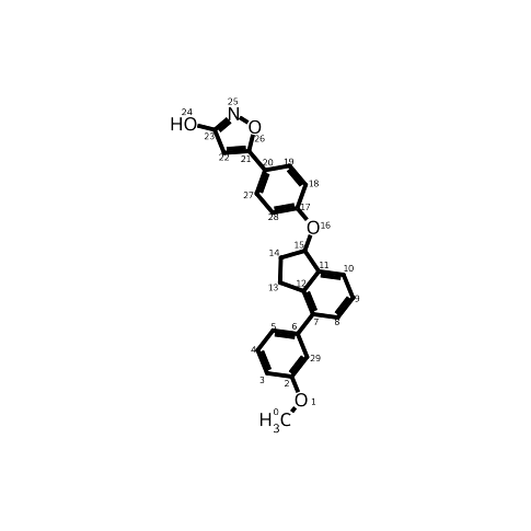 COc1cccc(-c2cccc3c2CCC3Oc2ccc(-c3cc(O)no3)cc2)c1